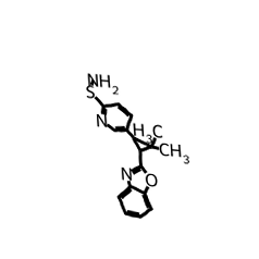 CC1(C)C(c2ccc(SN)nc2)C1c1nc2ccccc2o1